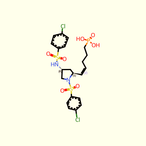 O=P(O)(O)CCC/C=C\[C@@H]1C[C@@H](NS(=O)(=O)c2ccc(Cl)cc2)CN1S(=O)(=O)c1ccc(Cl)cc1